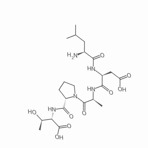 CC(C)C[C@H](N)C(=O)N[C@@H](CC(=O)O)C(=O)N[C@@H](C)C(=O)N1CCC[C@H]1C(=O)N[C@H](C(=O)O)[C@@H](C)O